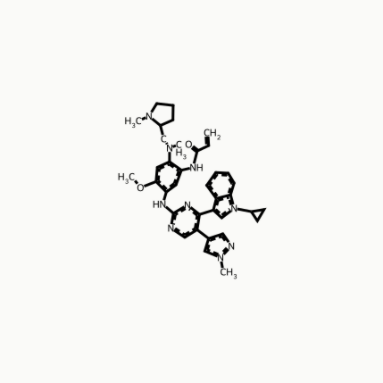 C=CC(=O)Nc1cc(Nc2ncc(-c3cnn(C)c3)c(-c3cn(C4CC4)c4ccccc34)n2)c(OC)cc1N(C)CC1CCCN1C